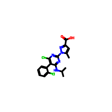 Cc1cc(C(=O)O)nn1-c1nc(Cl)c(-c2ccccc2Cl)c(NC(C)C)n1